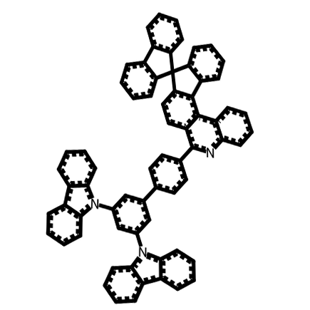 c1ccc2c(c1)-c1ccccc1C21c2ccccc2-c2c1ccc1c(-c3ccc(-c4cc(-n5c6ccccc6c6ccccc65)cc(-n5c6ccccc6c6ccccc65)c4)cc3)nc3ccccc3c21